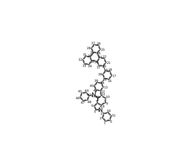 c1ccc(-n2ccc3c2ccc2c4cc(-c5cccc(-c6ccc7c8ccccc8c8ccccc8c7c6)c5)ccc4n(-c4ccccc4)c23)cc1